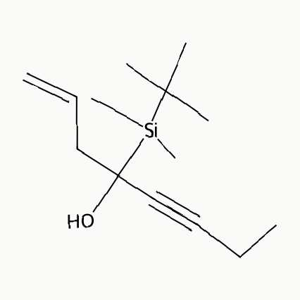 C=CCC(O)(C#CCC)[Si](C)(C)C(C)(C)C